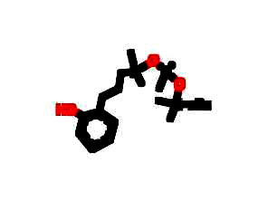 CCCC[Si](C)(C)O[Si](C)(C)O[Si](C)(C)CCCc1ccccc1O